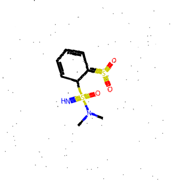 CN(C)S(=N)(=O)C1C=CC=CC1=S(=O)=O